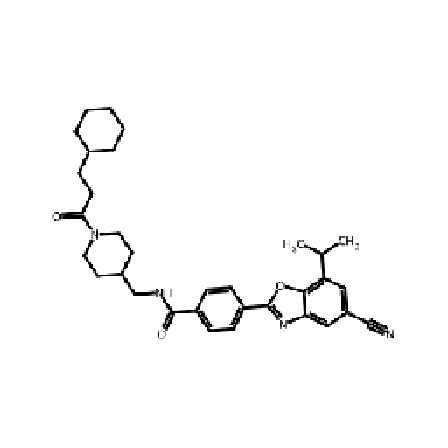 CC(C)c1cc(C#N)cc2nc(-c3ccc(C(=O)NCC4CCN(C(=O)CCC5CCCCC5)CC4)cc3)oc12